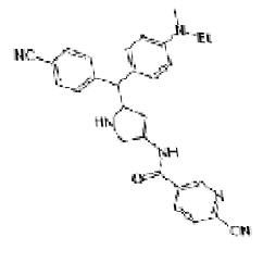 CCN(C)c1ccc(C(c2ccc(C#N)cc2)C2CC(NC(=O)c3ccc(C#N)nc3)CN2)cc1